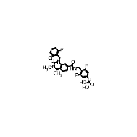 C[C@H]1c2ccc(C(=O)NCc3c(F)cc(OP(=O)(O)O)cc3F)cc2N(Cc2c(F)cccc2Cl)C(=O)N1C